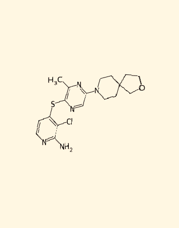 Cc1nc(N2CCC3(CCOC3)CC2)cnc1Sc1ccnc(N)c1Cl